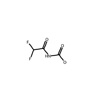 [O]C(=O)NC(=O)C(F)F